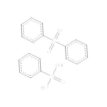 O=P(O)(O)c1ccccc1.O=S(=O)(c1ccccc1)c1ccccc1